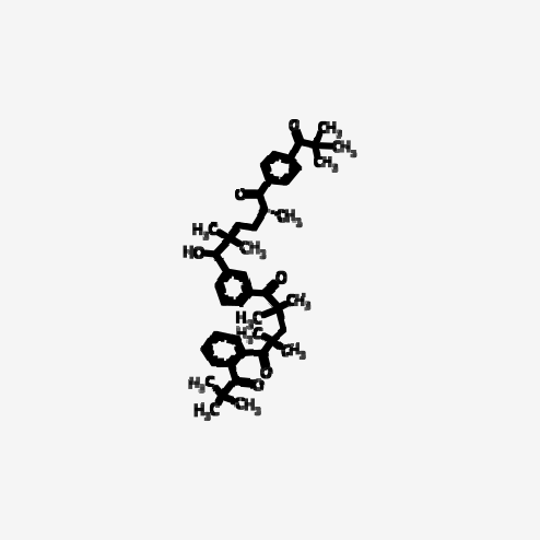 C[C@H](CCC(C)(C)C(O)c1cccc(C(=O)C(C)(C)CC(C)(C)C(=O)c2ccccc2C(=O)C(C)(C)C)c1)C(=O)c1ccc(C(=O)C(C)(C)C)cc1